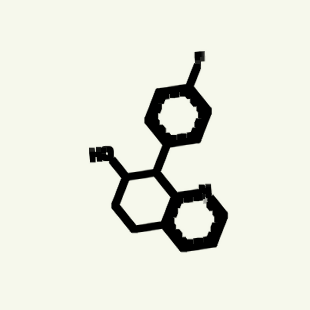 OC1CCc2cccnc2C1c1ccc(F)cc1